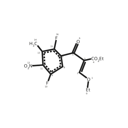 CCOC=C(C(=O)OCC)C(=O)c1cc(F)c([N+](=O)[O-])c(C)c1F